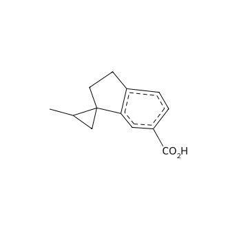 CC1CC12CCc1ccc(C(=O)O)cc12